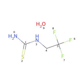 NC(=S)NCC(F)(F)F.O